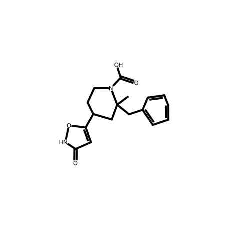 CC1(Cc2ccccc2)CC(c2cc(=O)[nH]o2)CCN1C(=O)O